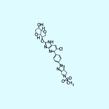 CS(=O)(=O)N1Cc2cn(-c3ccc(-c4nc5nc(O[C@@H]6CO[C@H]7[C@@H]6OC[C@H]7O)[nH]c5cc4Cl)cc3)nc2C1